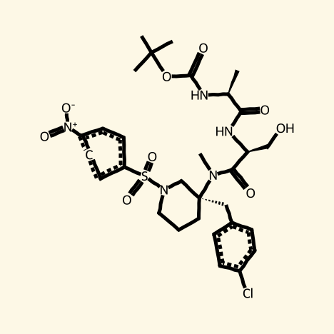 C[C@H](NC(=O)OC(C)(C)C)C(=O)N[C@@H](CO)C(=O)N(C)[C@@]1(Cc2ccc(Cl)cc2)CCCN(S(=O)(=O)c2ccc([N+](=O)[O-])cc2)C1